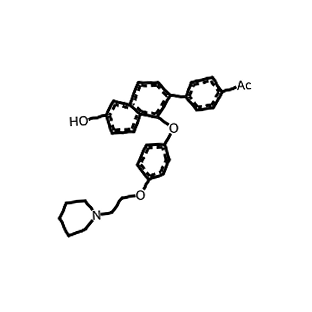 CC(=O)c1ccc(-c2ccc3cc(O)ccc3c2Oc2ccc(OCCN3CCCCC3)cc2)cc1